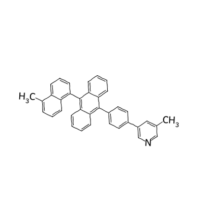 Cc1cncc(-c2ccc(-c3c4ccccc4c(-c4cccc5c(C)cccc45)c4ccccc34)cc2)c1